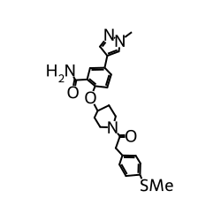 CSc1ccc(CC(=O)N2CCC(Oc3ccc(-c4cnn(C)c4)cc3C(N)=O)CC2)cc1